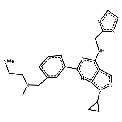 CNCCN(C)Cc1cccc(-c2nc(NCc3nccs3)c3cnn(C4CC4)c3n2)c1